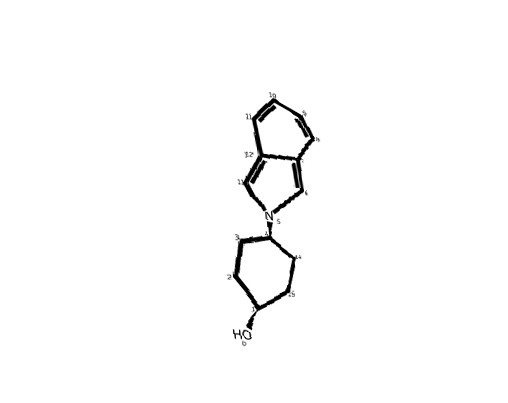 O[C@H]1CC[C@@H](n2cc3ccccc3c2)CC1